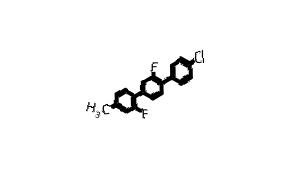 Cc1ccc(-c2ccc(-c3ccc(Cl)cc3)c(F)c2)c(F)c1